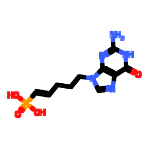 Nc1nc2c(ncn2CCCC=CP(=O)(O)O)c(=O)[nH]1